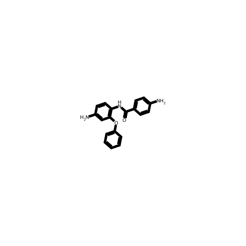 Nc1ccc(C(=O)Nc2ccc(N)cc2Oc2ccccc2)cc1